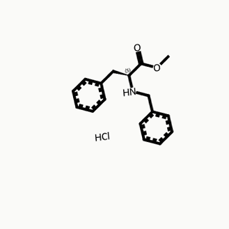 COC(=O)[C@H](Cc1ccccc1)NCc1ccccc1.Cl